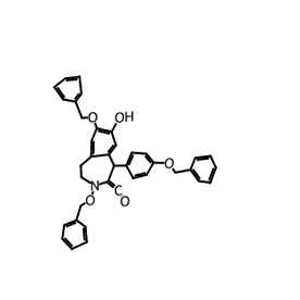 O=C=C1C(c2ccc(OCc3ccccc3)cc2)c2cc(O)c(OCc3ccccc3)cc2CCN1OCc1ccccc1